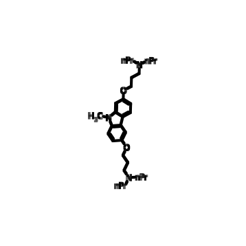 CCCN(CCC)CCCOc1ccc2c(c1)c1ccc(OCCCN(CCC)CCC)cc1n2C